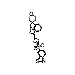 O=S(=O)(c1ccc2ncsc2c1)N1CC(=C2CN(CC3(c4ccccc4)CCOCC3)C2)C1